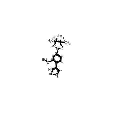 CCOc1cc(B2OC(C)(C)C(C)(C)O2)ccc1-c1cnn[nH]1